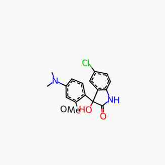 COc1cc(N(C)C)ccc1C1(O)C(=O)Nc2ccc(Cl)cc21